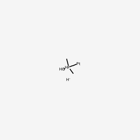 C[PH](C)(O)[Pt].[H-]